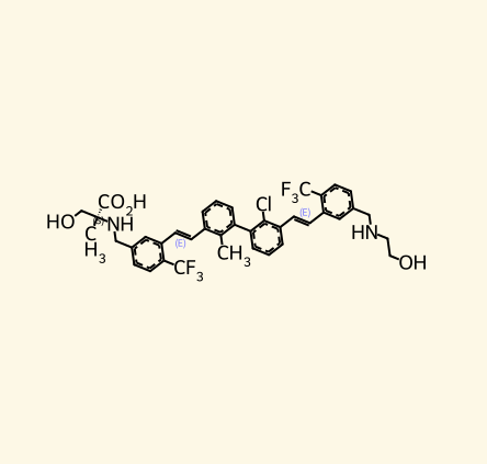 Cc1c(/C=C/c2cc(CN[C@@](C)(CO)C(=O)O)ccc2C(F)(F)F)cccc1-c1cccc(/C=C/c2cc(CNCCO)ccc2C(F)(F)F)c1Cl